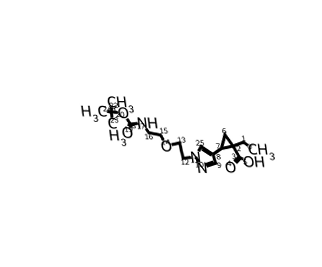 CCC1(C(=O)O)CC1c1cnn(CCOCCNC(=O)OC(C)(C)C)c1